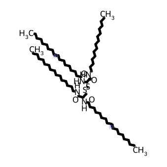 CCCCCCCC/C=C/CCCCCCCC(=O)NC(CSSC(NC(=O)CCCCCCC/C=C/CCCCCCCC)C(=O)NCCCCCCCCCCCCCCCC)C(=O)NCCCCCCCCCCCCCCCC